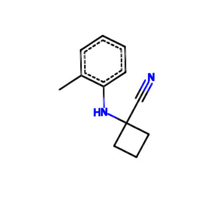 Cc1ccccc1NC1(C#N)CCC1